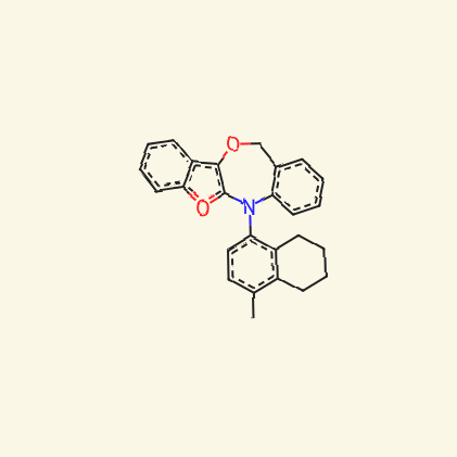 Cc1ccc(N2c3ccccc3COc3c2oc2ccccc32)c2c1CCCC2